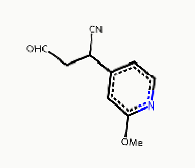 COc1cc(C(C#N)CC=O)ccn1